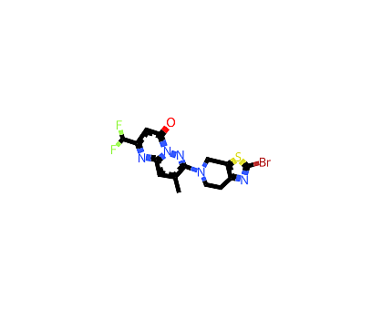 Cc1cc2nc(C(F)F)cc(=O)n2nc1N1CCc2nc(Br)sc2C1